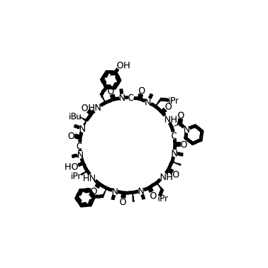 CC[C@H](C)[C@H]1C(=O)N[C@@H](Cc2ccc(O)cc2)C(=O)N(C)CC(=O)N(C)[C@@H](CC(C)C)C(=O)N[C@H](C(=O)N2CCCCC2)CC(=O)N(C)[C@@H](C)C(=O)N[C@@H](CC(C)C)C(=O)N(C)[C@@H](C)C(=O)N(C)[C@@H](Cc2ccccc2)C(=O)N[C@@H](C(C)C)C(O)N(C)CC(=O)N1C